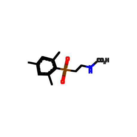 Cc1cc(C)c(S(=O)(=O)CCNC(=O)O)c(C)c1